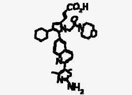 Cc1nc(N)sc1-c1ccc2cc(-c3c(C4CCCCC4)cc(C=CC(=O)O)n3CC(=O)N3CCOCC3)ccc2n1